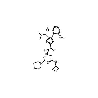 COc1cccc(OC)c1-c1cc(C(=O)N[C@@H](CCN2CCCCC2)CC(=O)NC2CCC2)nn1CC(C)C